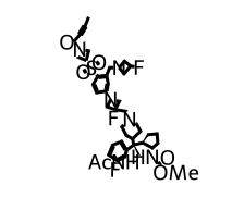 CC#CC(=O)N1CC(S(=O)(=O)c2ccc(N3CC(F)(CN4CCC([C@@](CNC(C)=O)(c5cccc(F)c5)[C@H]5CCC[C@@H]5NC(=O)OC)CC4)C3)cc2CN2CC(F)C2)C1